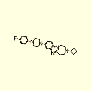 Fc1ccc(N2CCN(c3ccc4c(c3)nc3n4CCN(C4CCC4)CC3)CC2)cc1